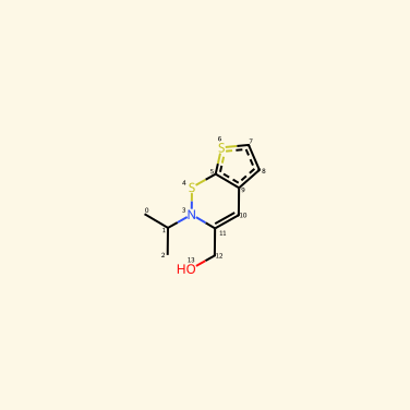 CC(C)N1Sc2sccc2C=C1CO